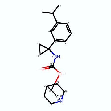 CC(C)c1cccc(C2(NC(=O)OC3CN4CCC3CC4)CC2)c1